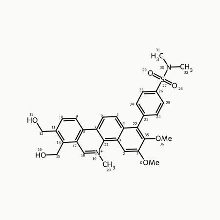 COc1cc2c(ccc3c4ccc(CO)c(CO)c4c[n+](C)c23)c(-c2ccc(S(=O)(=O)N(C)C)cc2)c1OC